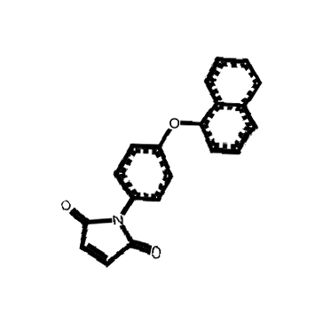 O=C1C=CC(=O)N1c1ccc(Oc2cccc3ccccc23)cc1